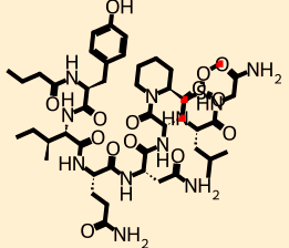 CCCC(=O)N[C@@H](Cc1ccc(O)cc1)C(=O)N[C@H](C(=O)N[C@@H](CCC(N)=O)C(=O)N[C@@H](CC(N)=O)C(=O)N[C@@H](CCS(=O)OC)C(=O)N1CCCC[C@H]1C(=O)N[C@@H](CC(C)C)C(=O)NCC(N)=O)[C@@H](C)CC